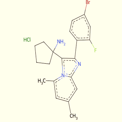 Cc1cc(C)n2c(C3(N)CCCC3)c(-c3ccc(Br)cc3F)nc2c1.Cl